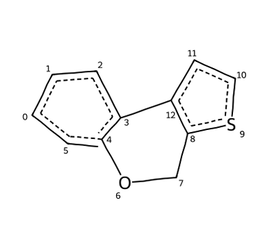 c1ccc2c(c1)OCc1sccc1-2